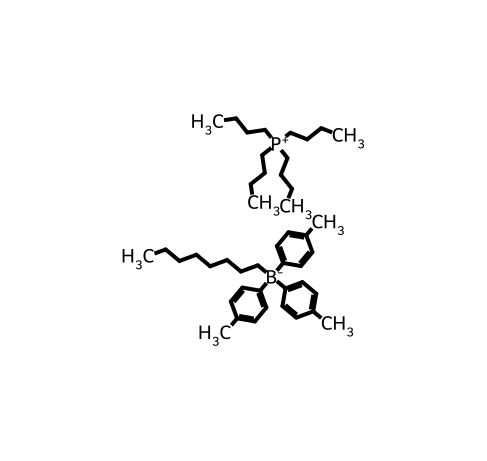 CCCCCCCC[B-](c1ccc(C)cc1)(c1ccc(C)cc1)c1ccc(C)cc1.CCCC[P+](CCCC)(CCCC)CCCC